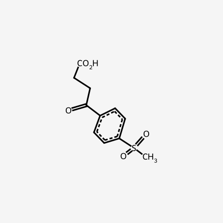 CS(=O)(=O)c1ccc(C(=O)CCC(=O)O)cc1